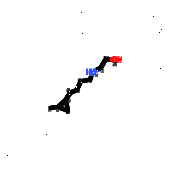 CC1CC1CCCCNCCO